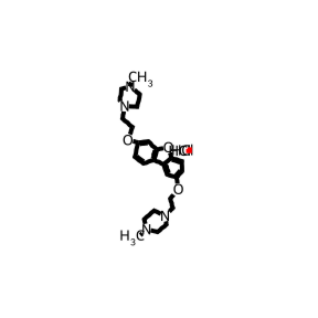 CN1CCN(CCOc2ccc3c(c2)oc2ccc(OCCN4CCN(C)CC4)cc23)CC1.Cl.Cl